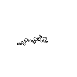 COc1cc(-c2cnn(C3CN([C@H]4CCCN(C(=O)OC(C)(C)C)C4)C3)c2C)cn2ncc(C#N)c12